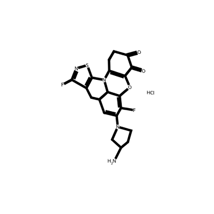 Cl.NC1CCN(C2=CC3Cc4c(F)nsc4N4C5=C(OC(=C2F)C34)C(=O)C(=O)CC5)C1